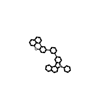 c1ccc(-n2c3ccc(-c4cccc(-c5ccc6c(c5)-c5cccc7cccc(c57)O6)c4)cc3c3c4ccccc4ccc32)cc1